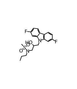 CCCN(CC(O)Cn1c2cc(F)ccc2c2ccc(F)cc21)S(C)(=O)=O